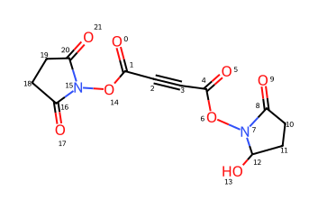 O=C(C#CC(=O)ON1C(=O)CCC1O)ON1C(=O)CCC1=O